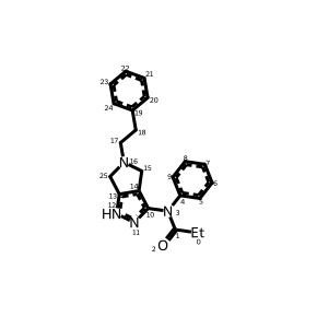 CCC(=O)N(c1ccccc1)c1n[nH]c2c1CN(CCc1ccccc1)C2